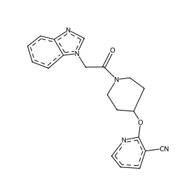 N#Cc1cccnc1OC1CCN(C(=O)Cn2cnc3ccccc32)CC1